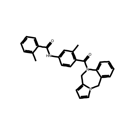 Cc1ccccc1C(=O)Nc1ccc(C(=O)N2Cc3cccn3Cc3ccccc32)c(C)c1